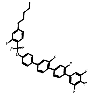 CCCCCc1ccc(C(F)(F)Oc2ccc(-c3ccc(-c4ccc(-c5cc(F)c(F)c(F)c5)c(F)c4)c(F)c3)cc2)c(F)c1